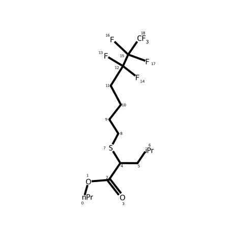 CCCOC(=O)C(CC(C)C)SCCCCC(F)(F)C(F)(F)C(F)(F)F